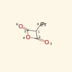 CC(C)C1C(=O)OC1=O